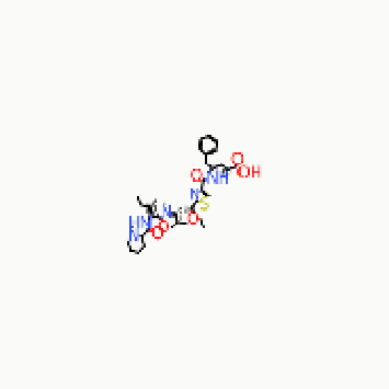 CCO[C@H](C[C@H](C(C)C)N(C)C(=O)[C@@H](NC(=O)C1CCCCN1C)[C@H](C)CC)c1nc(C(=O)N[C@@H](Cc2ccccc2)C[C@H](C)C(=O)O)cs1